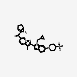 Cc1c(-c2cc3ccc(N4CCC(S(C)(=O)=O)CC4)cc3n2CC2CC2)nn2cc(C(=O)N3CC4CCC3[C@@H]4N)ccc12